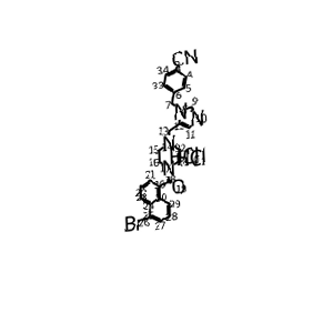 Cl.Cl.N#Cc1ccc(Cn2cncc2CN2CCN(C(=O)c3cccc4c(Br)cccc34)CC2)cc1